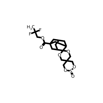 CC(F)(F)COC(=O)C12CC3CC(C1)C1(OCC4(COS(=O)OC4)CO1)C(C3)C2